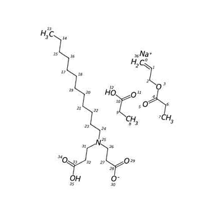 C=CCOC(=O)CC.CCC(=O)O.CCCCCCCCCCCCN(CCC(=O)[O-])CCC(=O)O.[Na+]